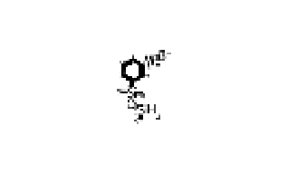 C[SiH2]O[Si](C)(C)c1ccc[c]([Mg][Br])c1